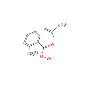 C=C(C)C(=O)O.CCOC(=O)c1ccccc1C(=O)OO